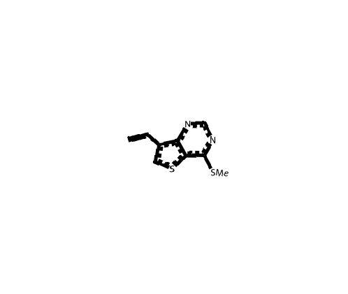 C=Cc1csc2c(SC)ncnc12